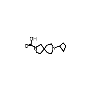 O=C(O)N1CCC2(CCN(C3CCC3)CC2)C1